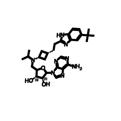 CC(C)N(CC1OC(n2cnc3c(N)ncnc32)[C@H](O)[C@@H]1O)[C@H]1C[C@@H](CCc2nc3cc(C(C)(C)C)ccc3[nH]2)C1